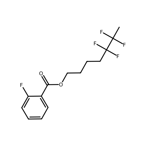 CC(F)(F)C(F)(F)CCCCOC(=O)c1ccccc1F